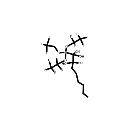 CCCCCCC(O)(O)C(O)(O)[Si](OCC(F)(F)F)(OC(F)(F)C(F)(F)F)OC(F)(F)C(F)(F)F